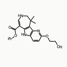 CC(C)OC(=O)C1=CNCC(C)(C)c2c1[nH]c1ccc(OCCO)nc21